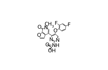 Cn1cc(-c2nc(NS(=O)O)ncc2Oc2ccc(F)cc2F)c2ccoc2c1=O